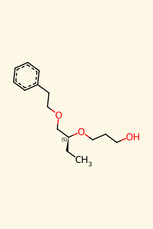 CC[C@@H](COCCc1ccccc1)OCCCO